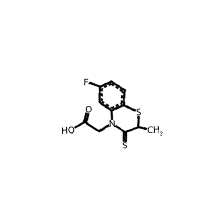 CC1Sc2ccc(F)cc2N(CC(=O)O)C1=S